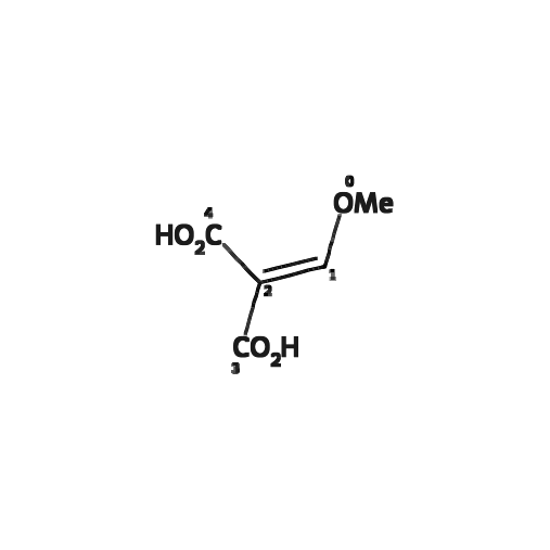 COC=C(C(=O)O)C(=O)O